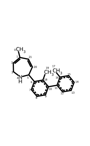 CC1=CCNC(c2cccc(-c3ccccc3C)c2C)C=C1